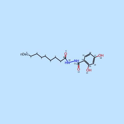 CCCCCCCCCCCCCCCCCC(=O)NNC(=O)c1ccc(O)cc1O